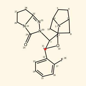 CC(CN1C2CCC1CC(OCc1ccccc1F)C2)n1nc2n(c1=O)CCC2